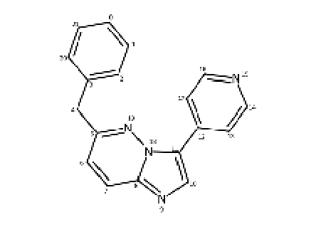 c1ccc(Cc2ccc3ncc(-c4ccncc4)n3n2)cc1